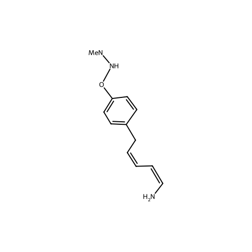 CNNOc1ccc(C/C=C\C=C/N)cc1